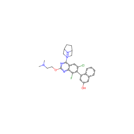 CN(C)CCOc1nc(N2CC3CCC(C2)N3)c2cc(Cl)c(-c3cc(O)cc4ccccc34)c(F)c2n1